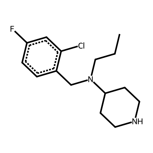 CCCN(Cc1ccc(F)cc1Cl)C1CCNCC1